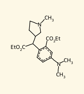 CCOC(=O)c1cc(N(C)C)ccc1C(C(=O)OCC)C1CCN(C)C1